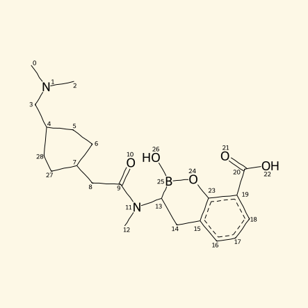 CN(C)CC1CCC(CC(=O)N(C)C2Cc3cccc(C(=O)O)c3OB2O)CC1